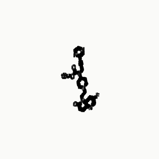 CC(C)(C)OC(=O)N(CC#Cc1cnccn1)C1CCN(CCn2c(=O)ccc3ncc(F)cc32)CC1